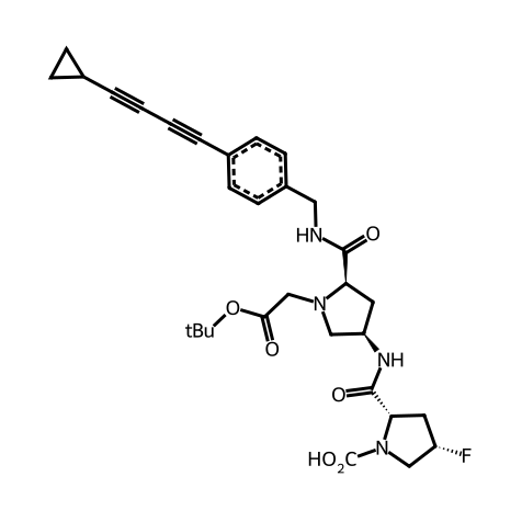 CC(C)(C)OC(=O)CN1C[C@H](NC(=O)[C@@H]2C[C@H](F)CN2C(=O)O)C[C@@H]1C(=O)NCc1ccc(C#CC#CC2CC2)cc1